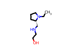 CCN1CCC[C@H]1CNCCO